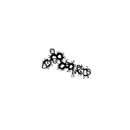 CC[C@@H]1COCCN1CC(=O)N(C)c1ccc2sc3c(-c4cccc5c(=O)cc(N6CCOCC6)oc45)cccc3c2c1